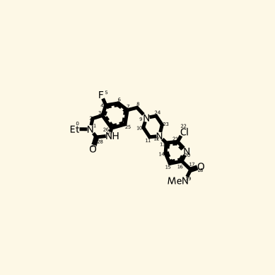 CCN1Cc2c(F)cc(CN3CCN(c4ccc(C(=O)NC)nc4Cl)CC3)cc2NC1=O